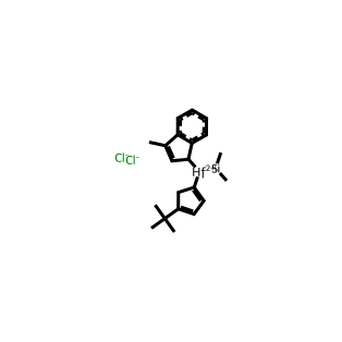 CC1=C[CH]([Hf+2]([C]2=CC=C(C(C)(C)C)C2)=[Si](C)C)c2ccccc21.[Cl-].[Cl-]